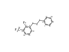 Fc1c(CCCc2ccccc2)cccc1C(F)(F)F